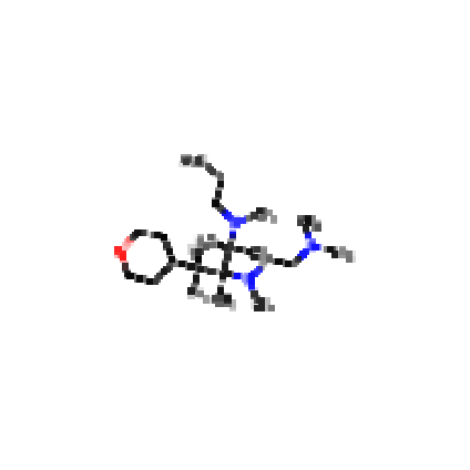 COCCN(C)C(C)(C)C(C)(N(C)CCN(C)C)C(C)(C)C1CCOCC1